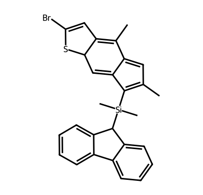 CC1=C([Si](C)(C)C2c3ccccc3-c3ccccc32)C2=CC3SC(Br)=CC3=C(C)C2=C1